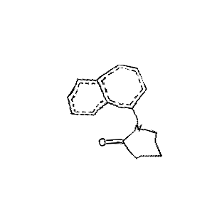 O=C1CCCN1c1cccc2ccccc12